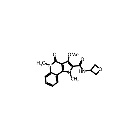 COc1c(C(=O)NC2COC2)n(C)c2c1c(=O)n(C)c1ccccc21